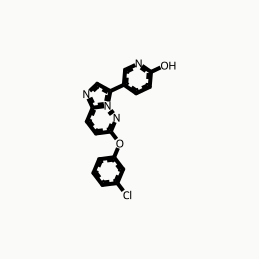 Oc1ccc(-c2cnc3ccc(Oc4cccc(Cl)c4)nn23)cn1